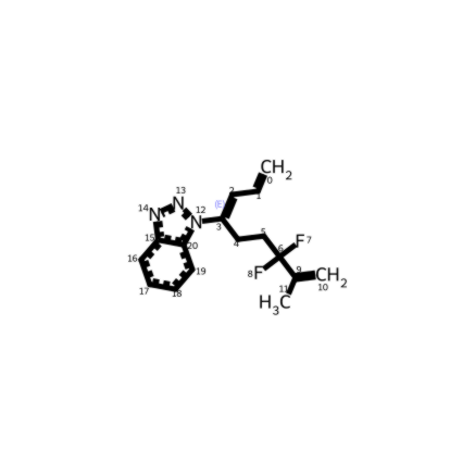 C=C/C=C(\CCC(F)(F)C(=C)C)n1nnc2ccccc21